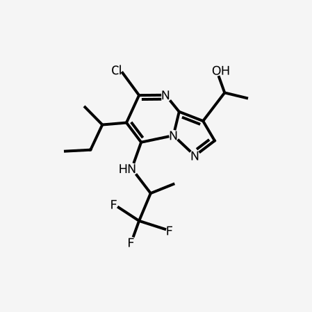 CCC(C)c1c(Cl)nc2c(C(C)O)cnn2c1NC(C)C(F)(F)F